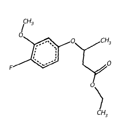 CCOC(=O)CC(C)Oc1ccc(F)c(OC)c1